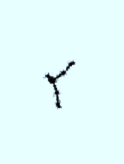 C=CC(=O)OCCNC(=O)OCCOc1ccc(C(C)(C)C)cc1OCCOC(=O)NCCOC(=O)C=C